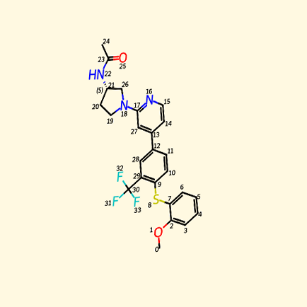 COc1ccccc1Sc1ccc(-c2ccnc(N3CC[C@H](NC(C)=O)C3)c2)cc1C(F)(F)F